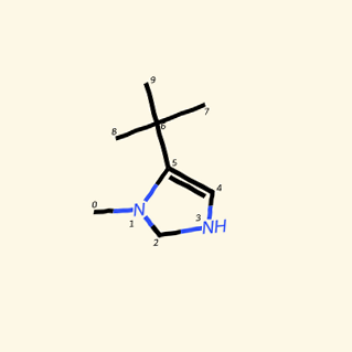 CN1CNC=C1C(C)(C)C